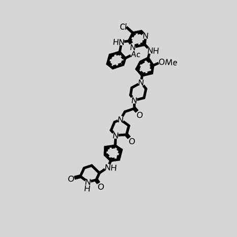 COc1cc(N2CCN(C(=O)CN3CCN(c4ccc(NC5CCC(=O)NC5=O)cc4)C(=O)C3)CC2)ccc1Nc1ncc(Cl)c(Nc2ccccc2C(C)=O)n1